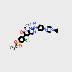 CCn1c(=O)c(-c2ccc(S(C)(=O)=O)cc2Cl)cc2cnc(Nc3ccc(N4CCN(C5CC5)CC4)cc3)nc21